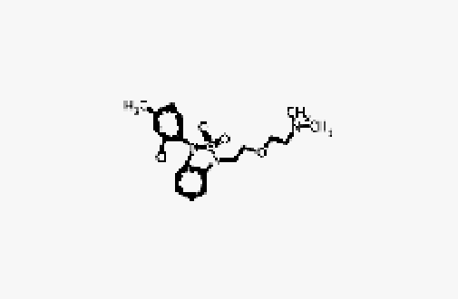 Cc1ccc(N2c3ccccc3N(CCOCCN(C)C)S2(=O)=O)c(Cl)c1